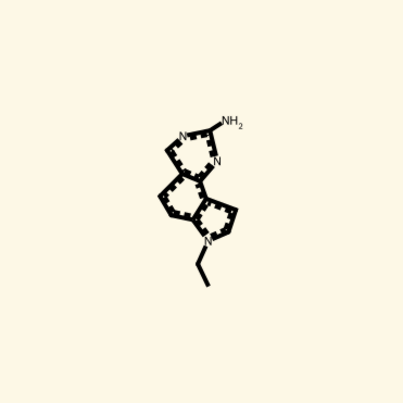 CCn1ccc2c3nc(N)ncc3ccc21